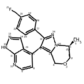 C[C@H]1COCc2c(-c3ccnc4[nH]ncc34)c(-c3ccc(F)cc3)nn21